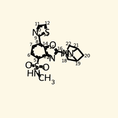 CNS(=O)(=O)c1ccc(-c2nccs2)c2oc(N3CC4CC(C3)N4)nc12